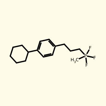 CP(F)(F)(F)CCCc1ccc(C2CCCCC2)cc1